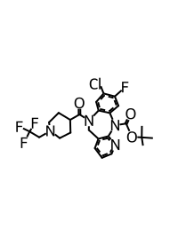 CC(C)(C)OC(=O)N1c2cc(F)c(Cl)cc2N(C(=O)C2CCN(CC(F)(F)F)CC2)Cc2cccnc21